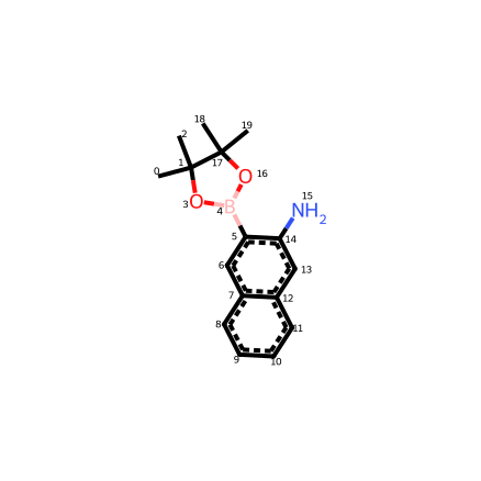 CC1(C)OB(c2cc3ccccc3cc2N)OC1(C)C